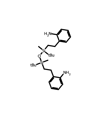 CC(C)(C)[Si](C)(CCc1ccccc1N)O[Si](C)(CCc1ccccc1N)C(C)(C)C